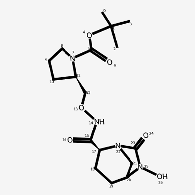 CC(C)(C)OC(=O)N1CCC[C@@H]1CONC(=O)[C@@H]1CCC2CN1C(=O)N2O